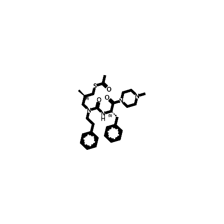 CC(=O)SC[C@H](C)CN(CCc1ccccc1)C(=O)N[C@@H](Cc1ccccc1)C(=O)N1CCN(C)CC1